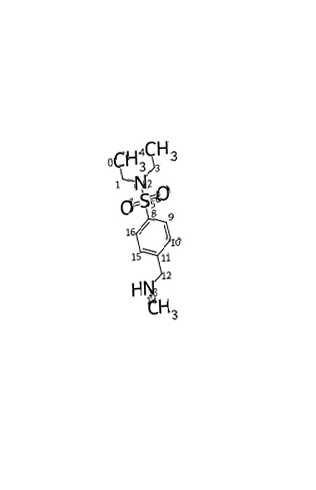 CCN(CC)S(=O)(=O)c1ccc(CNC)cc1